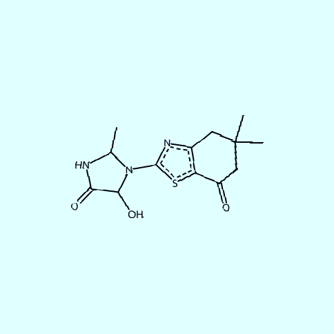 CC1NC(=O)C(O)N1c1nc2c(s1)C(=O)CC(C)(C)C2